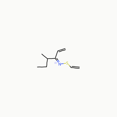 C=CS/N=C(\C=C)C(C)CC